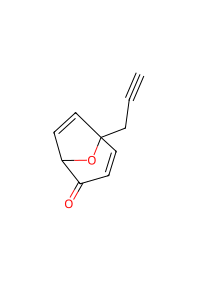 C#CCC12C=CC(=O)C(C=C1)O2